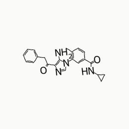 Cc1ccc(C(=O)NC2CC2)cc1-n1cnc(C(=O)Cc2ccccc2)c1N